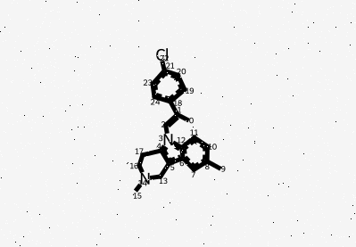 CC(=Cn1c2c(c3cc(C)ccc31)CN(C)CC2)c1ccc(Cl)cc1